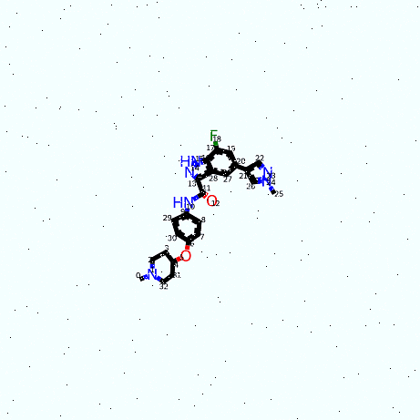 CN1CCC(Oc2ccc(NC(=O)c3n[nH]c4c(F)cc(-c5cnn(C)c5)cc34)cc2)CC1